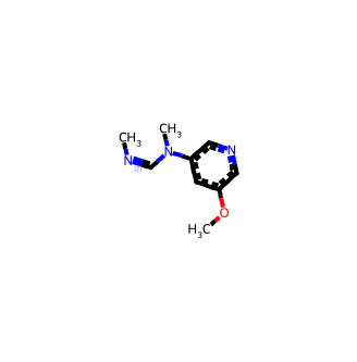 C/N=C\N(C)c1cncc(OC)c1